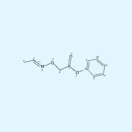 C/C=N/OCC(=O)Oc1ccccc1